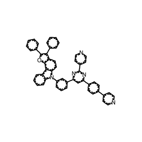 c1ccc(-c2oc3c(ccc4c3c3ccccc3n4-c3cccc(-c4cc(-c5ccc(-c6ccncc6)cc5)nc(-c5ccncc5)n4)c3)c2-c2ccccc2)cc1